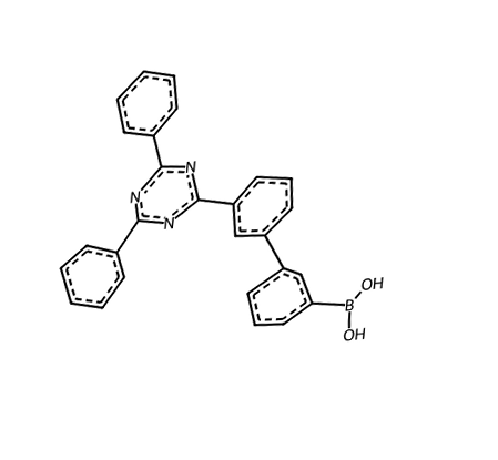 OB(O)c1cccc(-c2cccc(-c3nc(-c4ccccc4)nc(-c4ccccc4)n3)c2)c1